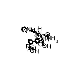 NC(=O)CC[C@@H](NC(=O)CCCCNc1ccccn1)C(=O)NC(CC(=O)O)c1ccc(-c2ccccc2)cc1.O=C(O)C(F)(F)F